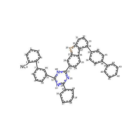 N#Cc1ccccc1-c1cccc(-c2nc(-c3ccccc3)nc(-c3ccc4c(c3)sc3cccc(-c5ccc(-c6ccccc6)cc5)c34)n2)c1